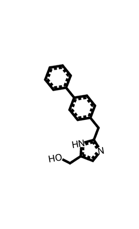 OCc1cnc(Cc2ccc(-c3ccccc3)cc2)[nH]1